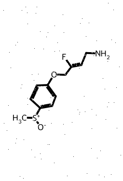 C[S+]([O-])c1ccc(OCC(F)=CCN)cc1